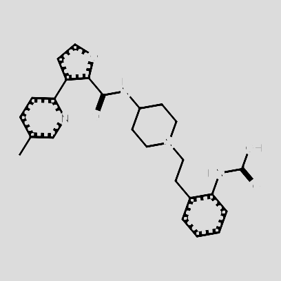 Cc1ccc(-c2ccoc2C(=O)NC2CCN(CCc3ccccc3NC(=O)O)CC2)nc1